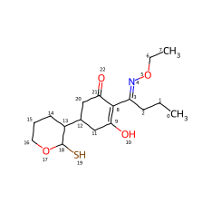 CCCC(=NOCC)C1=C(O)CC(C2CCCOC2S)CC1=O